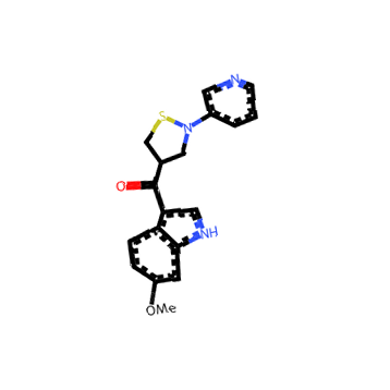 COc1ccc2c(C(=O)C3CSN(c4cccnc4)C3)c[nH]c2c1